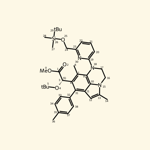 COC(=O)[C@@H](OC(C)(C)C)c1c(C)c2c3c(cc(C)n3CCN2c2cccc(CO[Si](C)(C)C(C)(C)C)n2)c1-c1ccc(C)cc1